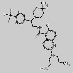 CCCN(CCC)c1ccc2c(C(=O)NCC(c3cnc(C(F)(F)F)nc3)N3CCC(C)(F)CC3)c(Cl)ccc2n1